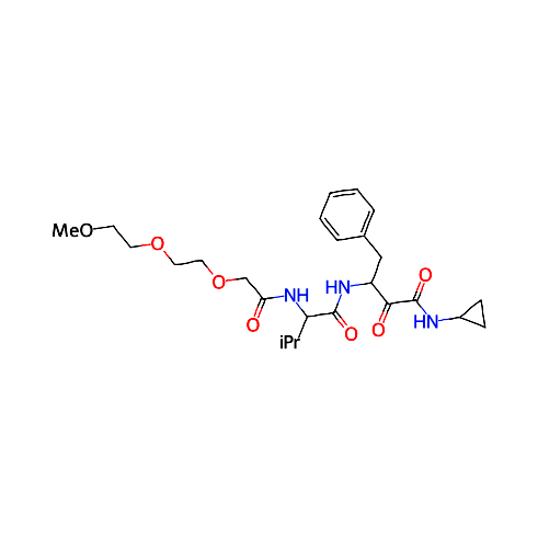 COCCOCCOCC(=O)NC(C(=O)NC(Cc1ccccc1)C(=O)C(=O)NC1CC1)C(C)C